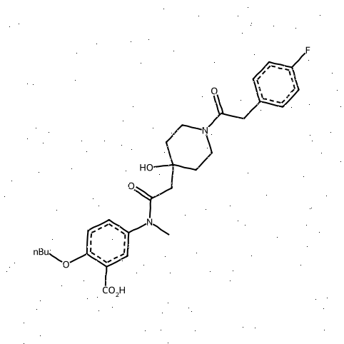 CCCCOc1ccc(N(C)C(=O)CC2(O)CCN(C(=O)Cc3ccc(F)cc3)CC2)cc1C(=O)O